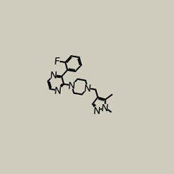 Cc1c(CN2CCN(c3nccnc3-c3ccccc3F)CC2)cnn1C